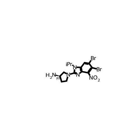 CC(C)n1c(N2CC[C@@H](N)C2)nc2c([N+](=O)[O-])c(Br)c(Br)cc21